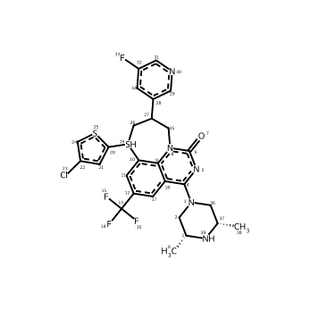 C[C@@H]1CN(c2nc(=O)n3c4c(cc(C(F)(F)F)cc24)[SH](c2cc(Cl)cs2)CC(c2cncc(F)c2)C3)C[C@H](C)N1